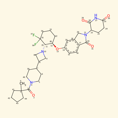 CC1(C(=O)N2CCC(C3CN([C@H]4[C@H](Oc5ccc6c(c5)CN(C5CCC(=O)NC5=O)C6=O)CCCC4(F)F)C3)CC2)CCCC1